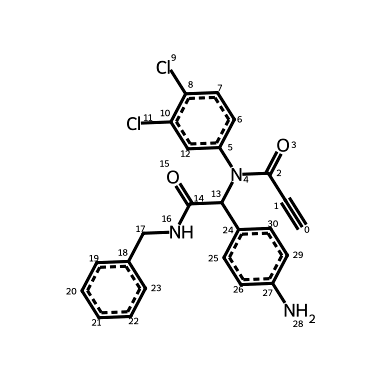 C#CC(=O)N(c1ccc(Cl)c(Cl)c1)C(C(=O)NCc1ccccc1)c1ccc(N)cc1